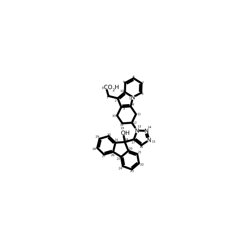 O=C(O)Cc1c2c(n3ccccc13)CC(n1nncc1C1(O)c3ccccc3-c3ccccc31)CC2